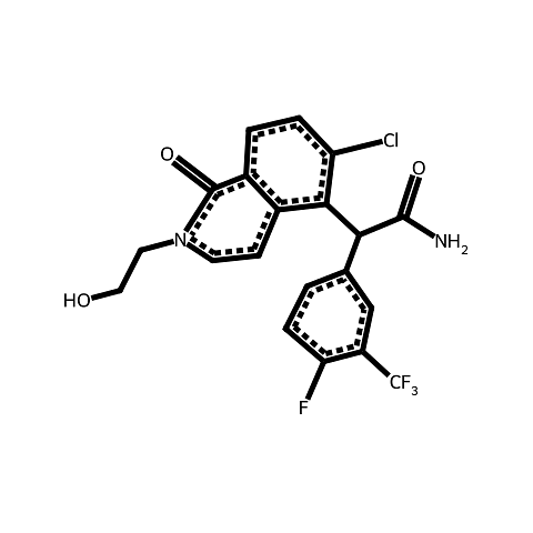 NC(=O)C(c1ccc(F)c(C(F)(F)F)c1)c1c(Cl)ccc2c(=O)n(CCO)ccc12